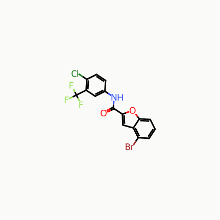 O=C(Nc1ccc(Cl)c(C(F)(F)F)c1)c1cc2c(Br)cccc2o1